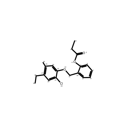 CCC(=O)Oc1ccccc1COc1cc(C)c(CC)cc1Cl